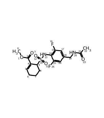 COC(=O)C1=CCCCC1S(=O)(=O)Nc1c(F)cc(CNC(C)=O)cc1F